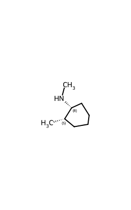 CN[C@@H]1CCCC[C@@H]1C